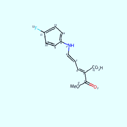 COC(=O)/C(=C/C=C/Nc1ccc(F)cc1)C(=O)O